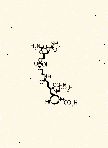 NC(=O)OCC(COP(=O)(O)OCCNC(=O)CCCCC1(N(CC(=O)O)CC(=O)O)CNCCN(CC(=O)O)C1)OC(N)=O